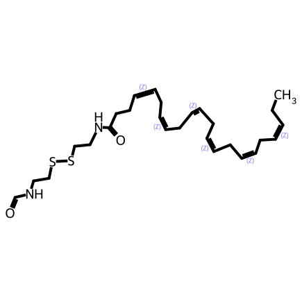 CC/C=C\C/C=C\C/C=C\C/C=C\C/C=C\C/C=C\CCC(=O)NCCSSCCNC=O